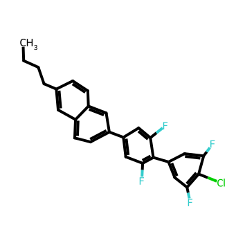 CCCCc1ccc2cc(-c3cc(F)c(-c4cc(F)c(Cl)c(F)c4)c(F)c3)ccc2c1